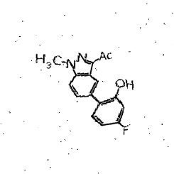 CC(=O)c1nn(C)c2ccc(-c3ccc(F)cc3O)cc12